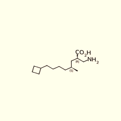 C[C@@H](CCCCC1CCC1)C[C@H](CN)C(=O)O